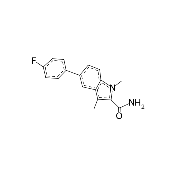 Cc1c(C(N)=O)n(C)c2ccc(-c3ccc(F)cc3)cc12